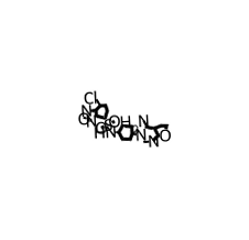 NC1=c2ccoc2=NCN1c1ccc(NS(=O)(=O)c2ccc(Cl)c3nonc23)cc1